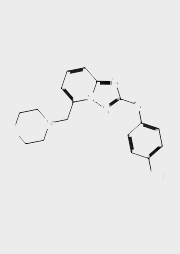 Cc1ccc(Nc2nc3cccc(CN4CCOCC4)n3n2)cc1